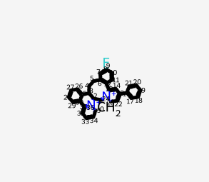 C=C1C2C(CCc3cc(F)ccc3-c3cc(-c4ccccc4)cc[n+]31)c1ccccc1-c1cccc[n+]12